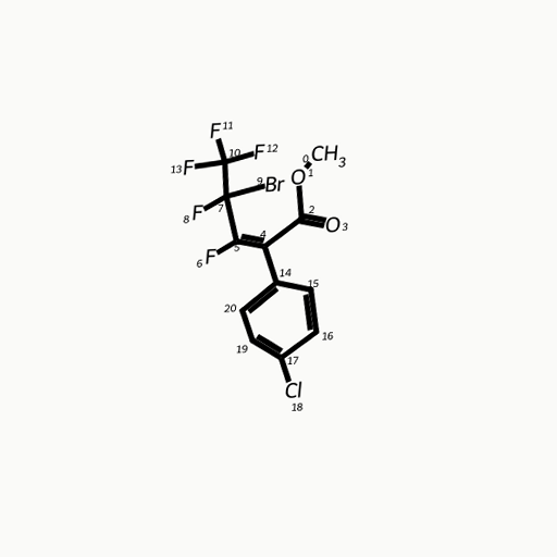 COC(=O)C(=C(F)C(F)(Br)C(F)(F)F)c1ccc(Cl)cc1